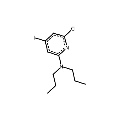 CCCN(CCC)c1cc(I)cc(Cl)n1